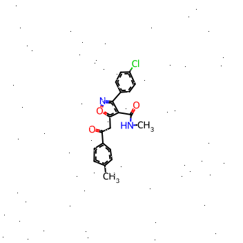 CNC(=O)c1c(-c2ccc(Cl)cc2)noc1CC(=O)c1ccc(C)cc1